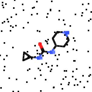 O=C(NC1CCNCC1)NC1CC1